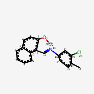 CCOc1ccc2ccccc2c1/C=N/c1ccc(C)c(Cl)c1